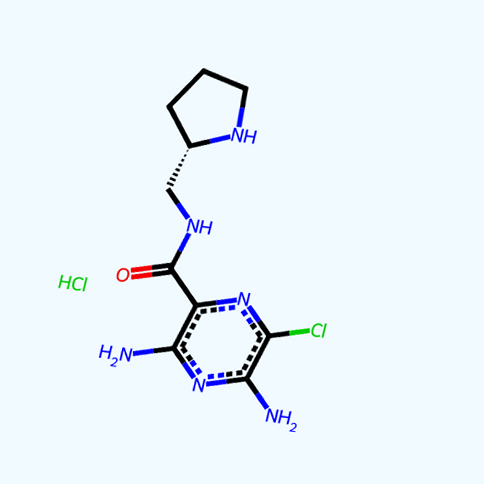 Cl.Nc1nc(N)c(C(=O)NC[C@@H]2CCCN2)nc1Cl